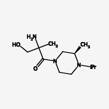 CC(C)N1CCN(C(=O)C(C)(N)CO)C[C@H]1C